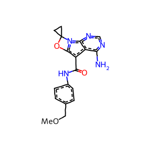 COCc1ccc(NC(=O)c2c3n(c4ncnc(N)c24)C2(CC2)O3)cc1